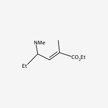 CCOC(=O)C(C)=CC(CC)NC